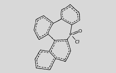 O=P1(Cl)c2ccccc2-c2ccccc2-c2c1ccc1ccccc21